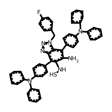 Nc1c(NS)c(-c2ccc(N(c3ccccc3)c3ccccc3)cc2)c2nnn(Cc3ccc(F)cc3)c2c1-c1ccc(N(c2ccccc2)c2ccccc2)cc1